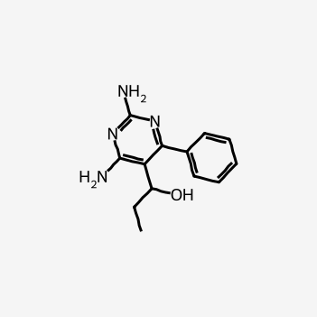 CCC(O)c1c(N)nc(N)nc1-c1ccccc1